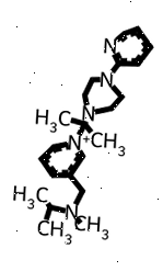 CC(C)N(C)Cc1ccc[n+](C(C)(C)N2CCN(c3ccccn3)CC2)c1